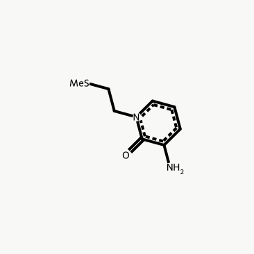 CSCCn1cccc(N)c1=O